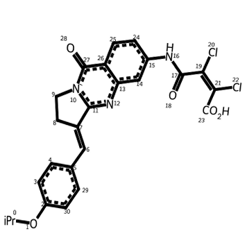 CC(C)Oc1ccc(C=C2CCn3c2nc2cc(NC(=O)/C(Cl)=C(/Cl)C(=O)O)ccc2c3=O)cc1